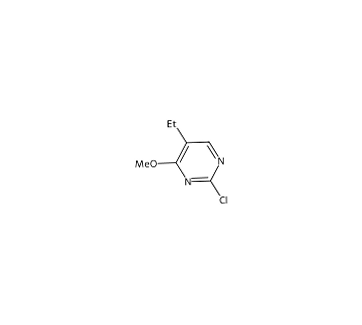 [CH2]Cc1cnc(Cl)nc1OC